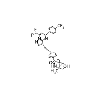 CC(C)(CO)NS(=O)(=O)c1ccc(C#Cc2cnn3c(C(F)F)cc(-c4ccc(C(F)(F)F)cc4)nc23)s1